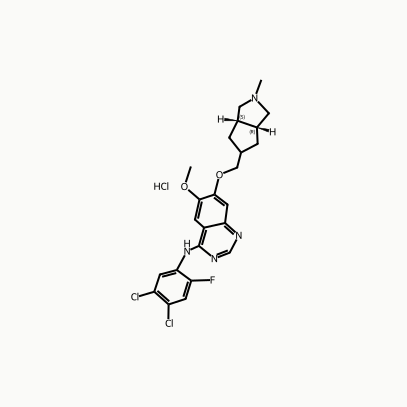 COc1cc2c(Nc3cc(Cl)c(Cl)cc3F)ncnc2cc1OCC1C[C@@H]2CN(C)C[C@@H]2C1.Cl